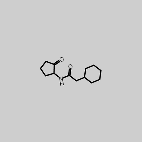 O=C(CC1CCCCC1)NC1CCCC1=O